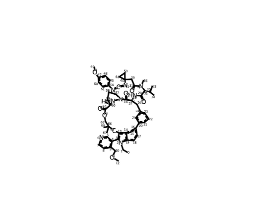 CCn1c(-c2cnccc2COC)c2c3cc(ccc31)-c1cccc(c1)C[C@H](NC(=O)[C@H](C(C)C)N(C)C(=O)CC1(N=C=Nc3ccc(OC)cc3)CC1)C(=O)N1CCC[C@H](N1)C(=O)OCC(C)(C)C2